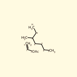 C=COC(C)=O.CCCCC(C)CC